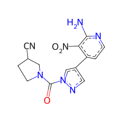 N#CC1CCN(C(=O)n2cc(-c3ccnc(N)c3[N+](=O)[O-])cn2)C1